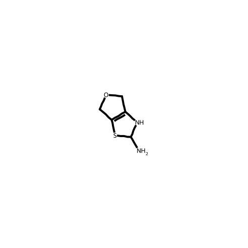 NC1NC2=C(COC2)S1